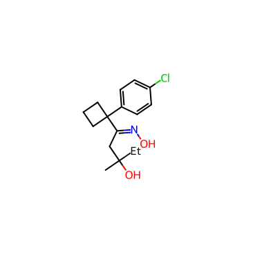 CCC(C)(O)CC(=NO)C1(c2ccc(Cl)cc2)CCC1